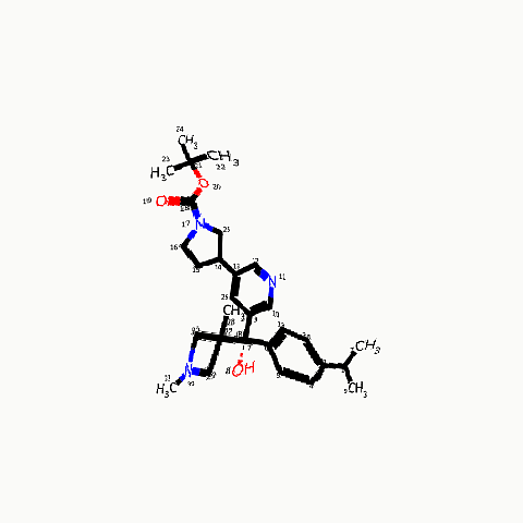 CC(C)c1ccc([C@](O)(c2cncc(C3CCN(C(=O)OC(C)(C)C)C3)c2)C2(C)CN(C)C2)cc1